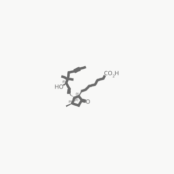 CC#CCC(C)(C)[C@H](O)C=C[C@H]1[C@H](C)CC(=O)[C@@H]1CCCCCCC(=O)O